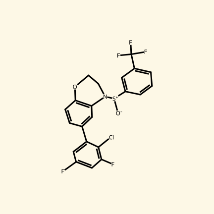 [O-][S+](c1cccc(C(F)(F)F)c1)N1CCOc2ccc(-c3cc(F)cc(F)c3Cl)cc21